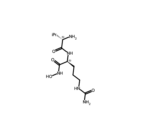 CC(C)[C@H](N)C(=O)N[C@@H](CCCNC(N)=O)C(=O)NO